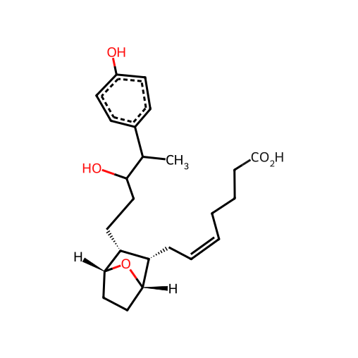 CC(c1ccc(O)cc1)C(O)CC[C@@H]1[C@H](C/C=C\CCCC(=O)O)[C@@H]2CC[C@H]1O2